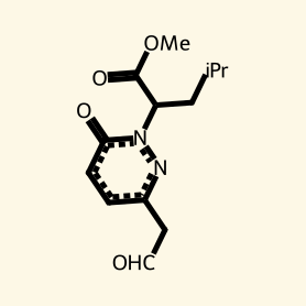 COC(=O)C(CC(C)C)n1nc(CC=O)ccc1=O